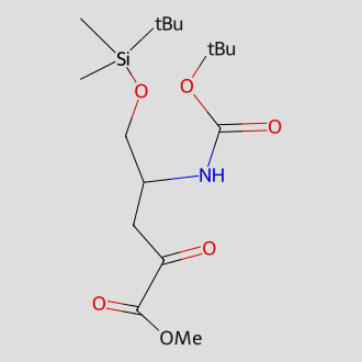 COC(=O)C(=O)CC(CO[Si](C)(C)C(C)(C)C)NC(=O)OC(C)(C)C